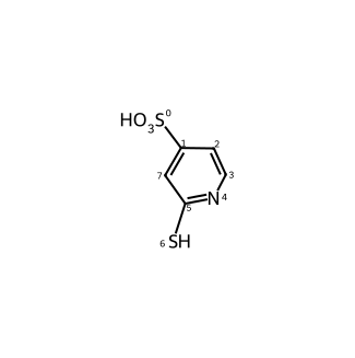 O=S(=O)(O)c1ccnc(S)c1